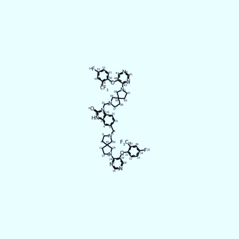 O=c1[nH]c2cc(CN3CCC4(CCN(c5ncncc5Oc5ccc(F)cc5C(F)(F)F)C4)C3)ccc2n1CN1CCC2(CCN(c3ncncc3Oc3ccc(F)cc3C(F)(F)F)C2)C1